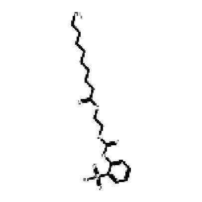 CCCCCCCCCC(=O)OCCOC(=O)Oc1ccccc1S(=O)(=O)O